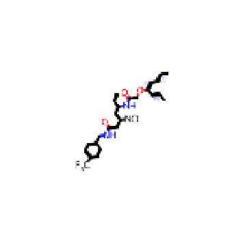 C=CC(CC(CC(=O)NCc1ccc(C(F)(F)F)cc1)N=O)NC(=O)COC(/C=C/C)=C/C=C/C